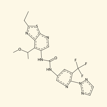 CCc1nc2c(C(C)OC)c(NC(=O)Nc3cnc(-n4nccn4)c(C(F)(F)F)c3)cnc2s1